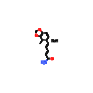 Cc1c(C=CC=CC(N)=O)ccc2c1OCO2.[NaH]